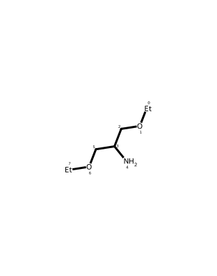 CCOCC(N)COCC